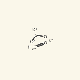 C=O.[K+].[K+].[O-]S[O-]